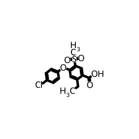 CCc1cc(Oc2ccc(Cl)cc2)c(S(C)(=O)=O)cc1C(=O)O